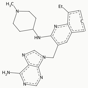 CCc1cccc2cc(Cn3cnc4c(N)ncnc43)c(NC3CCN(C)CC3)nc12